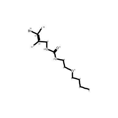 CCCCOCCOC(=O)OCC(I)=C(Br)I